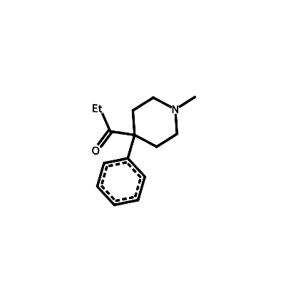 CCC(=O)C1(c2ccccc2)CCN(C)CC1